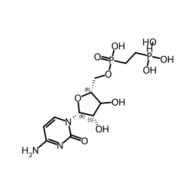 Nc1ccn([C@@H]2O[C@H](COP(=O)(O)CC[PH](O)(O)O)C(O)[C@@H]2O)c(=O)n1